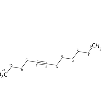 C[CH]CCCCC#CCCCC